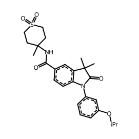 CC(C)Oc1cccc(N2C(=O)C(C)(C)c3cc(C(=O)NC4(C)CCS(=O)(=O)CC4)ccc32)c1